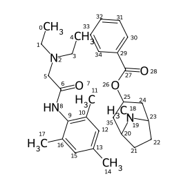 CCN(CC)CC(=O)Nc1c(C)cc(C)cc1C.CN1C2CCC1CC(OC(=O)c1ccccc1)C2